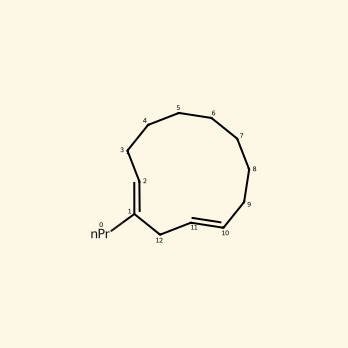 CCC/C1=C\[CH]CCCCCC/C=C/C1